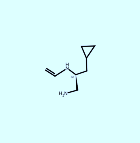 C=CN[C@H](CN)CC1CC1